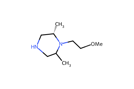 COCCN1C(C)CNC[C@@H]1C